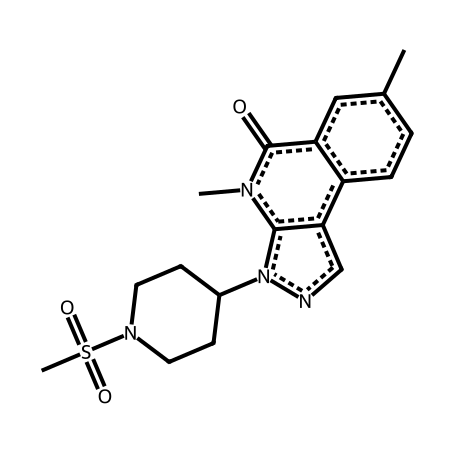 Cc1ccc2c(c1)c(=O)n(C)c1c2cnn1C1CCN(S(C)(=O)=O)CC1